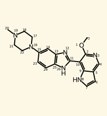 COc1ncc2cc[nH]c2c1-c1nc2cc(N3CCN(C)CC3)ccc2[nH]1